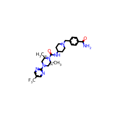 C[C@@H]1CN(c2ncc(C(F)(F)F)cn2)C[C@@H](C)N1C(=O)NC1CCN(Cc2ccc(C(N)=O)cc2)CC1